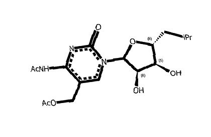 CC(=O)Nc1nc(=O)n(C2O[C@H](CC(C)C)[C@@H](O)[C@H]2O)cc1COC(C)=O